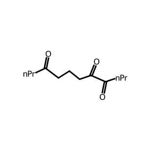 CCCC(=O)CCCC(=O)C(=O)CCC